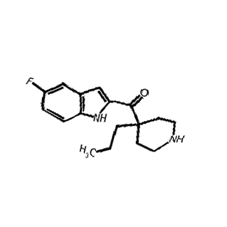 CCCC1(C(=O)c2cc3cc(F)ccc3[nH]2)CCNCC1